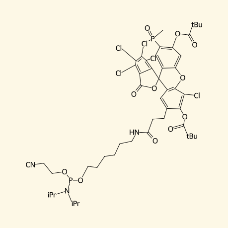 [C-]#[N+]CCOP(OCCCCCCNC(=O)CCc1cc2c(c(Cl)c1OC(=O)C(C)(C)C)Oc1cc(OC(=O)C(C)(C)C)c(P(C)(C)=O)cc1C21OC(=O)c2c(Cl)c(Cl)c(Cl)c(Cl)c21)N(C(C)C)C(C)C